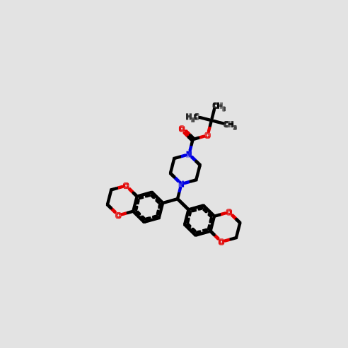 CC(C)(C)OC(=O)N1CCN(C(c2ccc3c(c2)OCCO3)c2ccc3c(c2)OCCO3)CC1